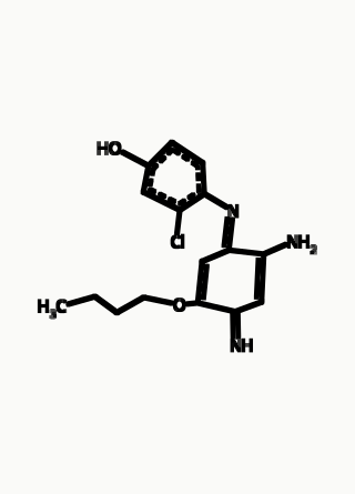 CCCCOC1=CC(=Nc2ccc(O)cc2Cl)C(N)=CC1=N